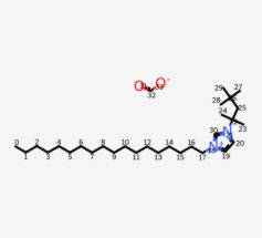 CCCCCCCCCCCCCCCCCC[n+]1ccn(C(C)(C)CC(C)(C)C)c1.O=C[O-]